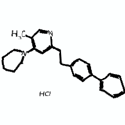 Cc1cnc(CCc2ccc(-c3ccccc3)cc2)cc1N1CCCCC1.Cl